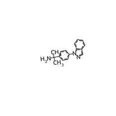 CC(C)(N)c1ccc(-n2ncc3ccccc32)cc1